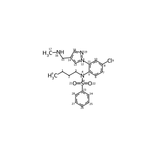 CCCCN(c1ccc(Cl)cc1-n1cc(CNC)cn1)S(=O)(=O)c1ccccc1